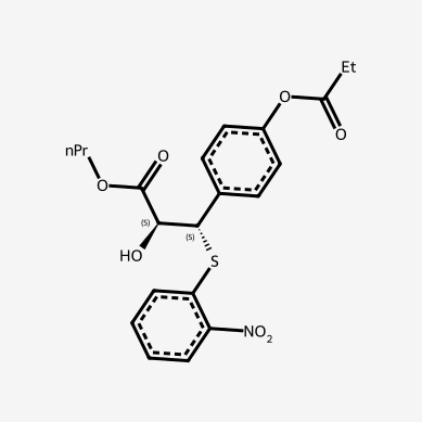 CCCOC(=O)[C@H](O)[C@@H](Sc1ccccc1[N+](=O)[O-])c1ccc(OC(=O)CC)cc1